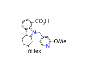 CCCCCCC1CCc2c(n(Cc3ccnc(OC)c3)c3c(C(=O)O)cccc23)C1